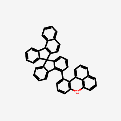 c1ccc2c(c1)-c1c(-c3cccc4c3-c3cccc5cccc(c35)O4)cccc1C21c2ccccc2-c2c1ccc1ccccc21